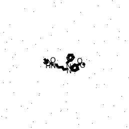 COC(=O)c1ccc2nc(CCCCNC(=O)OC(C)(C)C)n(Cc3ccccc3)c2c1